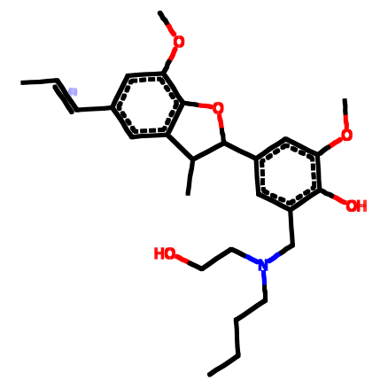 C/C=C/c1cc(OC)c2c(c1)C(C)C(c1cc(CN(CCO)CCCC)c(O)c(OC)c1)O2